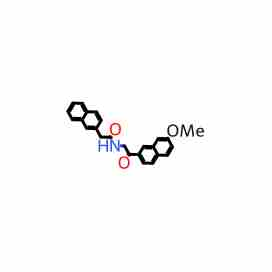 COc1ccc2ccc(C(=O)CNC(=O)Cc3ccc4ccccc4c3)cc2c1